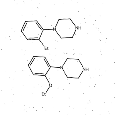 CCOc1ccccc1N1CCNCC1.CCc1ccccc1N1CCNCC1